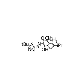 CC(C)c1ccc2c(c1)C(C)(C)C(=O)C(N=Nc1nnc(C(C)(C)C)s1)=C2O